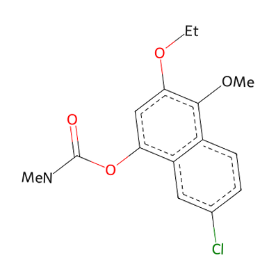 CCOc1cc(OC(=O)NC)c2cc(Cl)ccc2c1OC